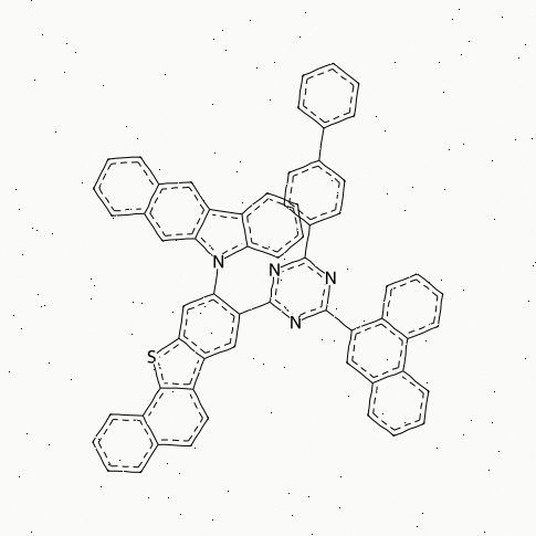 c1ccc(-c2ccc(-c3nc(-c4cc5c(cc4-n4c6ccccc6c6cc7ccccc7cc64)sc4c6ccccc6ccc54)nc(-c4cc5ccccc5c5ccccc45)n3)cc2)cc1